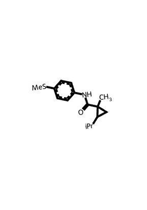 CSc1ccc(NC(=O)C2(C)CC2C(C)C)cc1